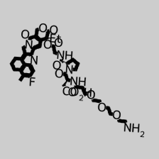 CC[C@@]1(OC(=O)CNC(=O)[C@@H]2CCCN2C(=O)[C@H](CC(=O)O)NC(=O)CCOCCOCCOCCN)C(=O)OCc2c1cc1n(c2=O)Cc2c-1nc1cc(F)c(C)c3c1c2CCC3